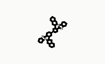 c1ccc2cc3c(cc2c1)c1cc(-c2ccc4c(c2)c2cc5ccccc5cc2n2c5ccccc5nc42)ccc1c1nc2ccccc2n31